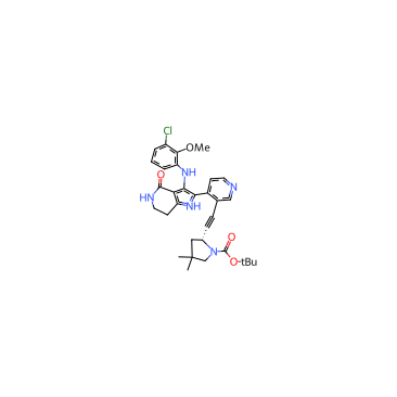 COc1c(Cl)cccc1Nc1c(-c2ccncc2C#C[C@H]2CC(C)(C)CN2C(=O)OC(C)(C)C)[nH]c2c1C(=O)NCC2